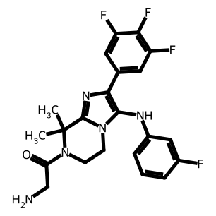 CC1(C)c2nc(-c3cc(F)c(F)c(F)c3)c(Nc3cccc(F)c3)n2CCN1C(=O)CN